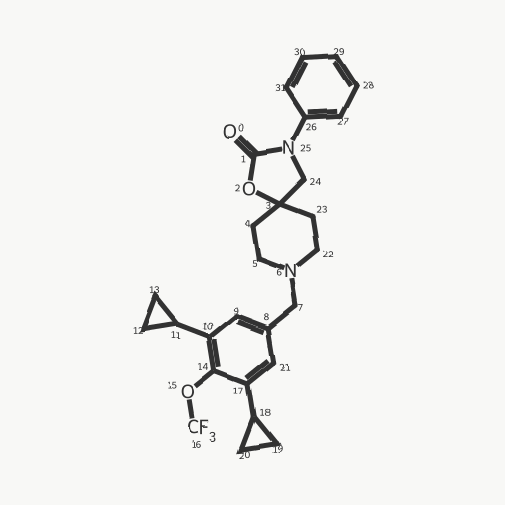 O=C1OC2(CCN(Cc3cc(C4CC4)c(OC(F)(F)F)c(C4CC4)c3)CC2)CN1c1ccccc1